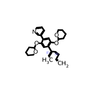 C=C/C=C\C(=C/C)c1cc(OC2CCCCO2)c(-c2cccnc2)cc1OC1CCCCO1